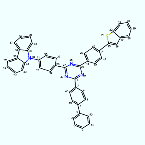 c1ccc(-c2ccc(-c3nc(-c4ccc(-c5cc6ccccc6s5)cc4)nc(-c4ccc(-n5c6ccccc6c6ccccc65)cc4)n3)cc2)cc1